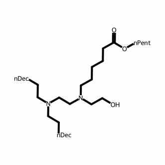 CCCCCCCCCCCCN(CCCCCCCCCCCC)CCN(CCO)CCCCCC(=O)OCCCCC